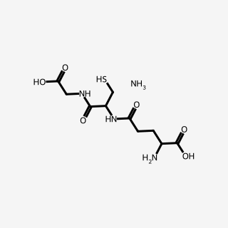 N.NC(CCC(=O)NC(CS)C(=O)NCC(=O)O)C(=O)O